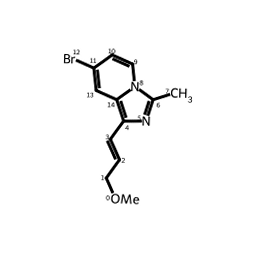 COCC=Cc1nc(C)n2ccc(Br)cc12